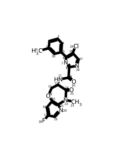 Cc1cccc(-c2nc(C(=O)N[C@H]3COc4cc(F)cnc4N(C)C3=O)ncc2Cl)c1